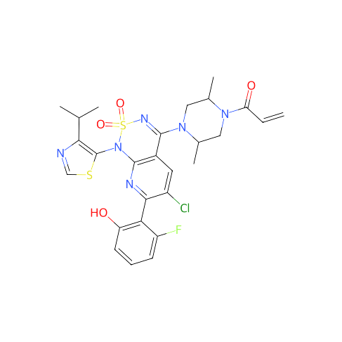 C=CC(=O)N1CC(C)N(C2=NS(=O)(=O)N(c3scnc3C(C)C)c3nc(-c4c(O)cccc4F)c(Cl)cc32)CC1C